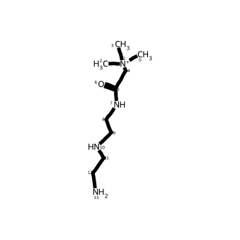 C[N+](C)(C)CC(=O)NCCNCCN